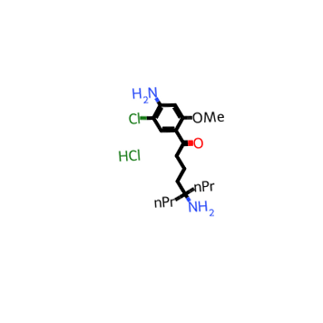 CCCC(N)(CCC)CCCC(=O)c1cc(Cl)c(N)cc1OC.Cl